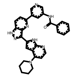 O=C(Nc1cncc(-c2ccc3[nH]nc(-c4cc5c(N6CCCCC6)ccnc5[nH]4)c3n2)c1)c1ccccc1